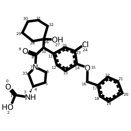 O=C(O)N[C@H]1CCN(C(=O)C(c2ccc(OCc3ccccc3)c(Cl)c2)C2(O)CCCCC2)C1